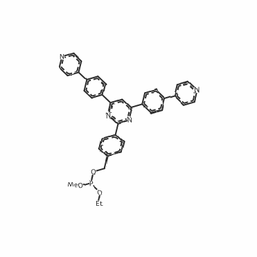 CCOP(OC)OCc1ccc(-c2nc(-c3ccc(-c4ccncc4)cc3)cc(-c3ccc(-c4ccncc4)cc3)n2)cc1